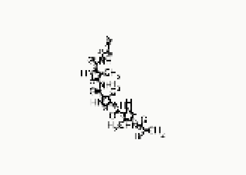 C=C(Br)C(=O)Nc1c[nH]c(C(=O)Nc2c[nH]c(C(=O)Nc3c[nH]c(C(=O)NCCC#N)c3C)c2C)c1C